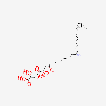 CCCCCCCC/C=C\CCCCCCCC(=O)CC(O)C(=O)CC(O)C(=O)O